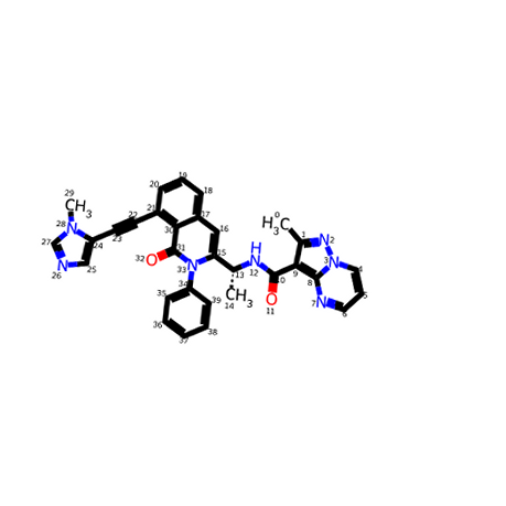 Cc1nn2cccnc2c1C(=O)N[C@H](C)c1cc2cccc(C#Cc3cncn3C)c2c(=O)n1-c1ccccc1